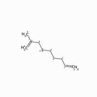 C=CCCCSCC(=C)C